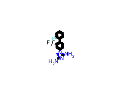 Nc1nc(N)n(-c2ccc(-c3ccccc3F)c(C(F)(F)F)c2)n1